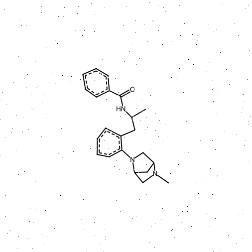 CC(Cc1ccccc1N1CC2CC1CN2C)NC(=O)c1ccccc1